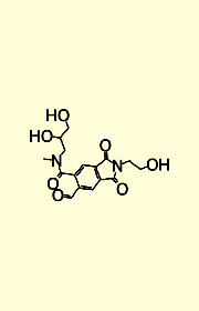 CN(CC(O)CO)C(=O)c1cc2c(cc1C=O)C(=O)N(CCO)C2=O